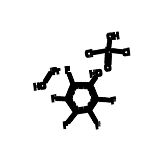 CC(C)O.O=P(O)(Cl)Cl.Oc1c(F)c(F)c(F)c(F)c1F